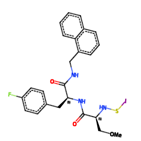 COC[C@H](NSI)C(=O)N[C@@H](Cc1ccc(F)cc1)C(=O)NCc1cccc2ccccc12